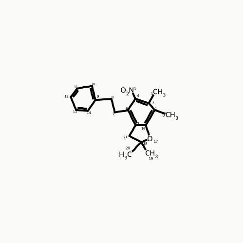 Cc1c(C)c([N+](=O)[O-])c(CCc2ccccc2)c2c1OC(C)(C)C2